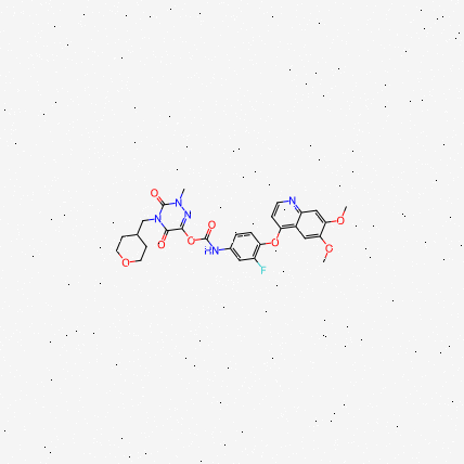 COc1cc2nccc(Oc3ccc(NC(=O)Oc4nn(C)c(=O)n(CC5CCOCC5)c4=O)cc3F)c2cc1OC